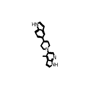 Cc1c(N2CC=C(c3ccc4[nH]ccc4c3)CC2)cnc2[nH]ccc12